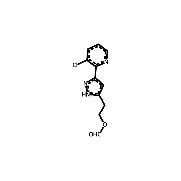 O=COCCc1cc(-c2ncccc2Cl)n[nH]1